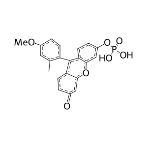 COc1ccc(-c2c3ccc(=O)cc-3oc3cc(OP(=O)(O)O)ccc23)c(C)c1